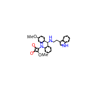 COc1ccc(C(NCCc2c[nH]c3ccccc23)c2ccccc2Nc2c(OC)c(=O)c2=O)cc1